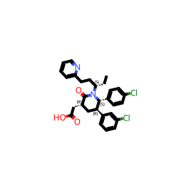 CC[C@@H](CCc1ccccn1)N1C(=O)[C@@H](CC(=O)O)C[C@H](c2cccc(Cl)c2)[C@H]1c1ccc(Cl)cc1